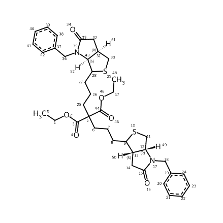 CCOC(=O)C(CCCC1SC[C@H]2[C@@H]1CC(=O)N2Cc1ccccc1)(CCCC1SC[C@@H]2CC(=O)N(Cc3ccccc3)[C@H]12)C(=O)OCC